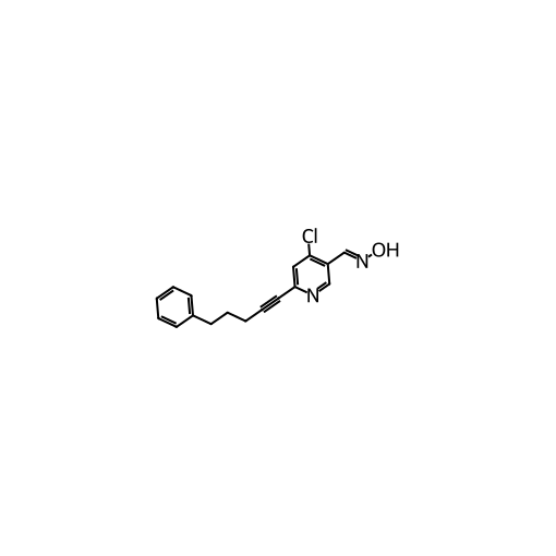 ON=Cc1cnc(C#CCCCc2ccccc2)cc1Cl